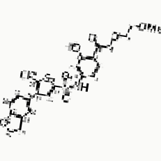 COCCOCC(=O)c1ccc(NS(=O)(=O)c2cc(-c3ccc4c(c3)CCO4)c(Cl)s2)cc1O